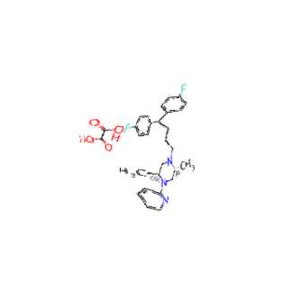 C[C@@H]1CN(c2ccccn2)[C@@H](C)CN1CCCC(c1ccc(F)cc1)c1ccc(F)cc1.O=C(O)C(=O)O